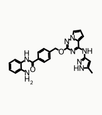 Cc1cc(Nc2nc(OCc3ccc(C(=O)Nc4ccccc4N)cc3)nn3cccc23)n[nH]1